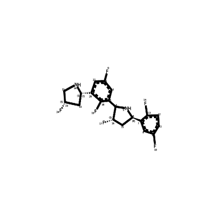 Fc1cc(C2N[C@@H](c3cc(F)ccc3F)C[C@@H]2F)c(F)c([C@@H]2C[C@H](F)CN2)c1